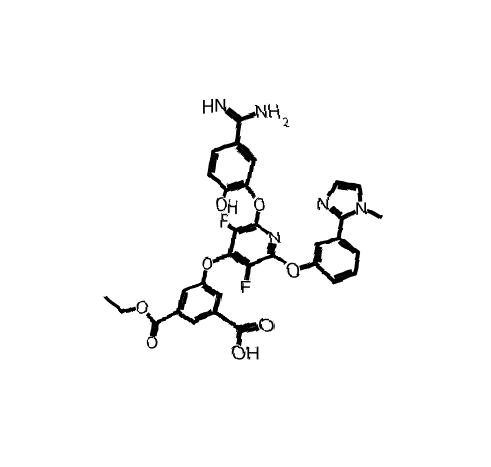 CCOC(=O)c1cc(Oc2c(F)c(Oc3cccc(-c4nccn4C)c3)nc(Oc3cc(C(=N)N)ccc3O)c2F)cc(C(=O)O)c1